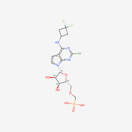 O=P(O)(O)COC[C@H]1O[C@@H](n2ccc3c(NC4CC(F)(F)C4)nc(Cl)nc32)[C@H](O)[C@@H]1O